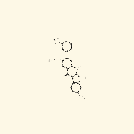 CCn1c2cc(-c3cccc(S(=O)(=O)F)c3)c(OC(C)C)cc2c(=O)c2c3ccc(C#N)cc3[nH]c21